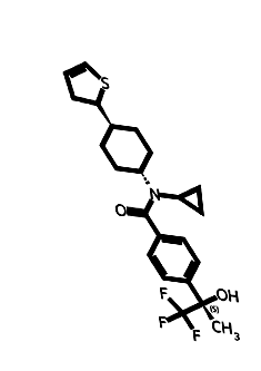 C[C@](O)(c1ccc(C(=O)N(C2CC2)[C@H]2CC[C@H](C3CC=CS3)CC2)cc1)C(F)(F)F